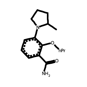 CCCOc1c(C(N)=O)cccc1N1CCCC1C